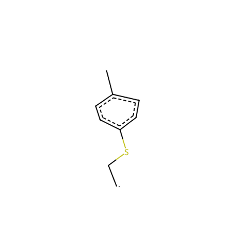 [CH2]CSc1ccc(C)cc1